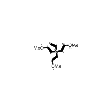 C=C[Si](C=COC)(C=COC)C=COC